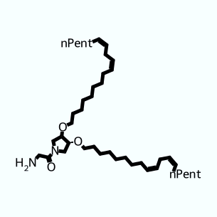 CCCCC/C=C\C/C=C\CCCCCCCCOC1CN(C(=O)CN)C[C@H]1OCCCCCCCC/C=C\C/C=C\CCCCC